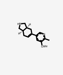 COc1cc(C2=CC[C@H]3CNC[C@H]3C2)cnc1C